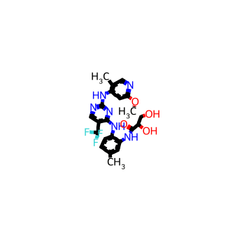 COc1cc(Nc2ncc(C(F)(F)F)c(Nc3ccc(C)cc3NC(=O)C(O)CO)n2)c(C)cn1